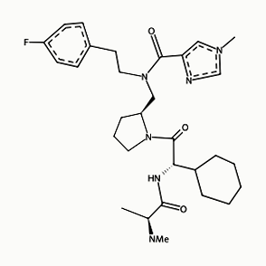 CN[C@@H](C)C(=O)N[C@H](C(=O)N1CCC[C@H]1CN(CCc1ccc(F)cc1)C(=O)c1cn(C)cn1)C1CCCCC1